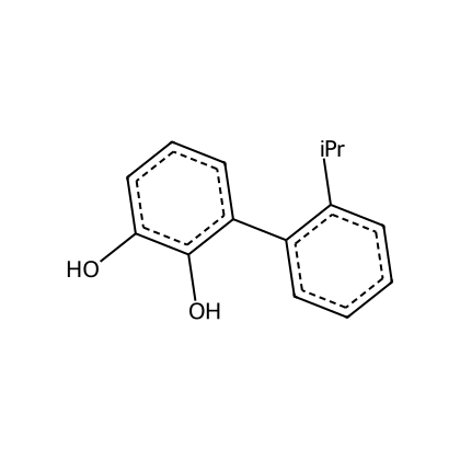 CC(C)c1ccccc1-c1cccc(O)c1O